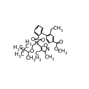 CCc1cc(C(=O)OC)ccc1-c1ccccc1S(=O)(=O)N(COC(C)[Si](C)(C)C)c1onc(C)c1C